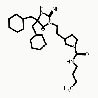 CCCCNC(=O)N1CCC(CCN2C(=N)NC(CC3CCCCC3)(CC3CCCCC3)C2=O)C1